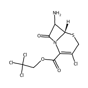 NC1C(=O)N2C(C(=O)OCC(Cl)(Cl)Cl)=C(Cl)CS[C@@H]12